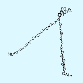 CCOC(=O)c1cc2ccc(N(CCCOCCOCCOCCOCCOCCOCCOCCOCCOCCOCCOCCO)CCOCCOCCOCCOCCOCCOCCOCCOCCOCCOCCOCCOC)cc2oc1=O